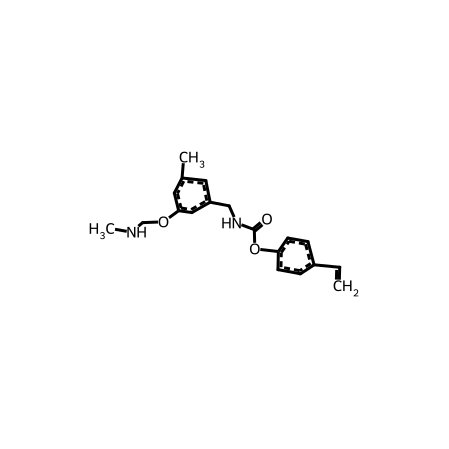 C=Cc1ccc(OC(=O)NCc2cc(C)cc(OCNC)c2)cc1